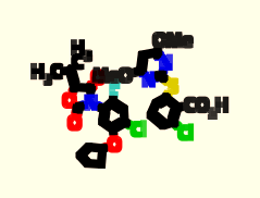 CC(C)=C1OC(=O)N(c2cc(OC3CCCC3)c(Cl)cc2F)C1=O.COc1cc(OC)nc(Sc2cccc(Cl)c2C(=O)O)n1